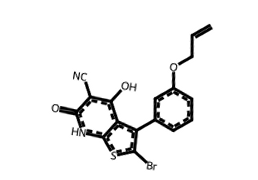 C=CCOc1cccc(-c2c(Br)sc3[nH]c(=O)c(C#N)c(O)c23)c1